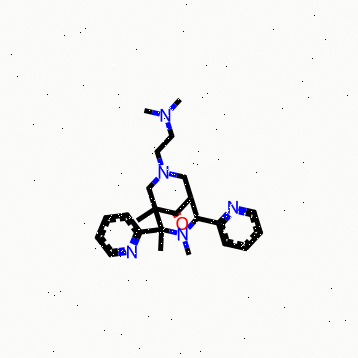 CN(C)CCN1CC2C(=O)C(C)(C1)C(C)(c1ccccn1)N(C)C2c1ccccn1